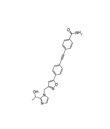 CC(O)c1nccn1Cc1cc(-c2ccc(C#Cc3ccc(C(N)=O)cc3)cc2)on1